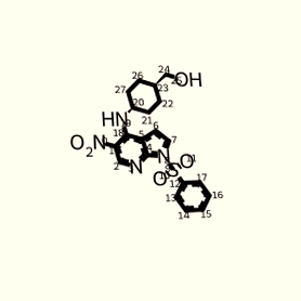 O=[N+]([O-])c1cnc2c(ccn2S(=O)(=O)c2ccccc2)c1N[C@H]1CC[C@H](CO)CC1